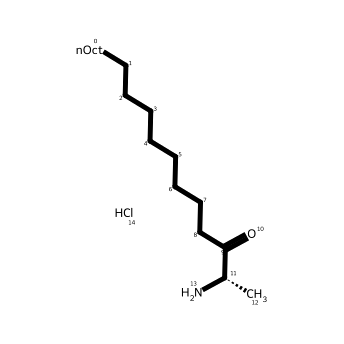 CCCCCCCCCCCCCCCCC(=O)[C@H](C)N.Cl